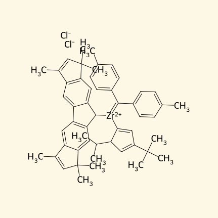 CC1=CC(C)(C)c2cc3c(cc21)-c1cc2c(cc1[CH]3[Zr+2]([C]1=CC(C(C)(C)C)=CC1C(C)C)=[C](c1ccc(C)cc1)c1ccc(C)cc1)C(C)(C)C=C2C.[Cl-].[Cl-]